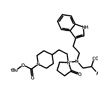 CC(=O)C(CN(CCc1c[nH]c2ccccc12)[N+]1(CCC2CCN(C(=O)OC(C)(C)C)CC2)CCCC1=O)C(=O)O